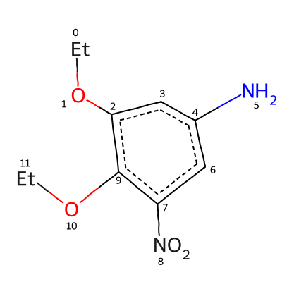 CCOc1cc(N)cc([N+](=O)[O-])c1OCC